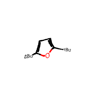 CC(C)(C)c1ccc(C(C)(C)C)o1